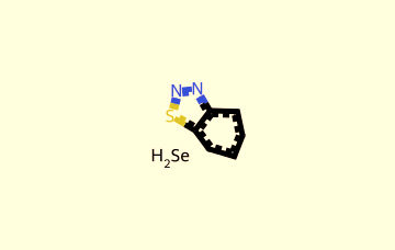 [SeH2].c1ccc2snnc2c1